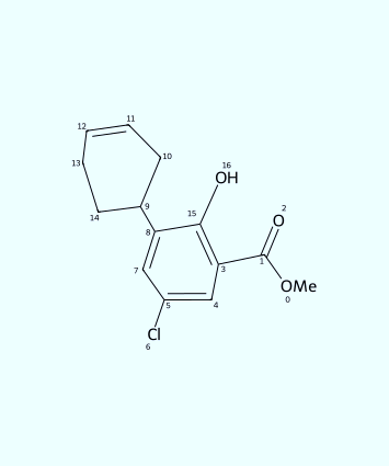 COC(=O)c1cc(Cl)cc(C2CC=CCC2)c1O